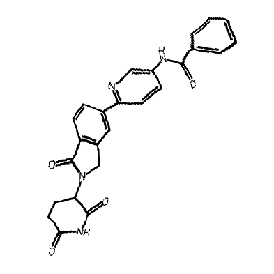 O=C1CCC(N2Cc3cc(-c4ccc(NC(=O)c5ccccc5)cn4)ccc3C2=O)C(=O)N1